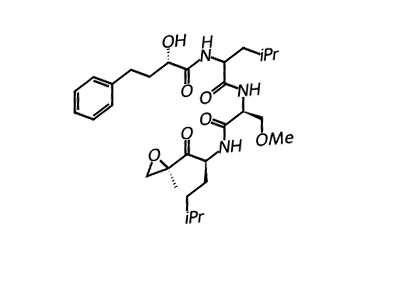 COC[C@H](NC(=O)C(CC(C)C)NC(=O)[C@@H](O)CCc1ccccc1)C(=O)N[C@@H](CCC(C)C)C(=O)[C@@]1(C)CO1